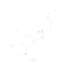 O=C(NCc1ccccc1)c1cc(Cl)c(Br)c(C(=O)O)c1